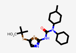 CC1CCC(N(C(=O)Nc2ncc(SC(C)(C)C(=O)O)s2)C2CCCCC2)CC1